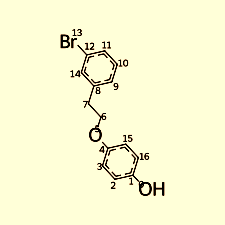 Oc1ccc(OCCc2cccc(Br)c2)cc1